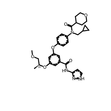 COC[C@H](C)Oc1cc(Oc2ccc(N(CC3CC3)C(=O)C3CCOCC3)cc2)cc(C(=O)Nc2cc[nH]n2)c1